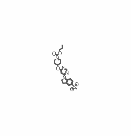 CCCOC(=O)N1CCC(Oc2cc(N3CCc4cc(S(C)(=O)=O)ccc43)ncn2)CC1